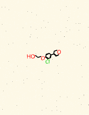 OCCCOc1ccc(C2=CCOCC2)cc1Cl